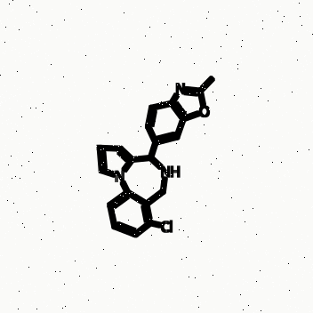 Cc1nc2ccc(C3NCc4c(Cl)cccc4-n4cccc43)cc2o1